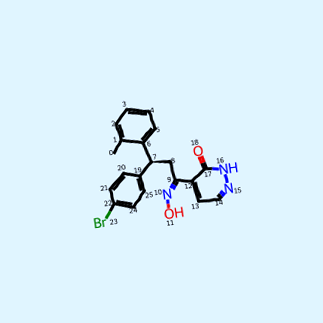 Cc1ccccc1[C@@H](CC(=NO)c1ccn[nH]c1=O)c1ccc(Br)cc1